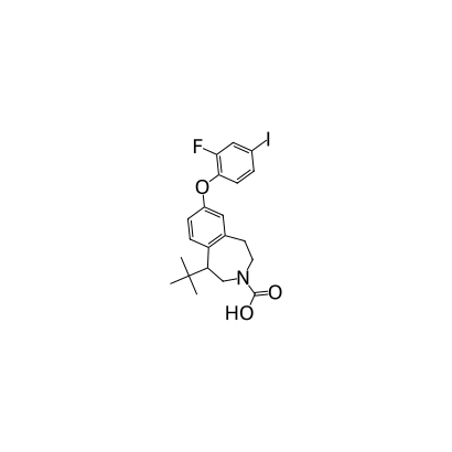 CC(C)(C)C1CN(C(=O)O)CCc2cc(Oc3ccc(I)cc3F)ccc21